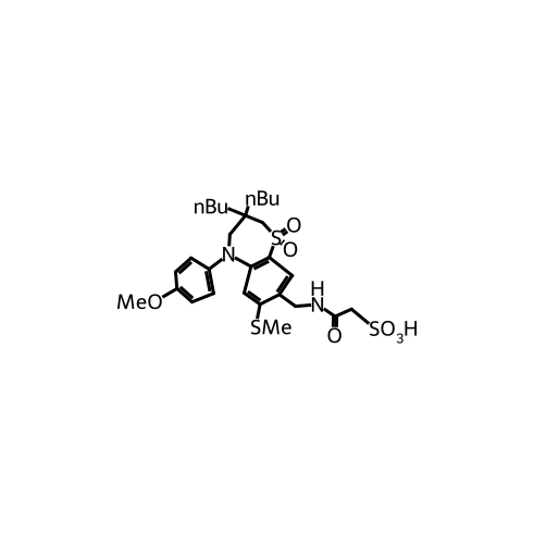 CCCCC1(CCCC)CN(c2ccc(OC)cc2)c2cc(SC)c(CNC(=O)CS(=O)(=O)O)cc2S(=O)(=O)C1